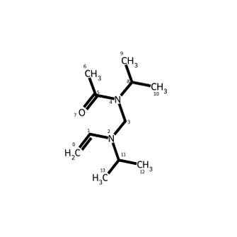 C=CN(CN(C(C)=O)C(C)C)C(C)C